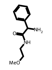 COCCNC(=O)C(N)c1ccccc1